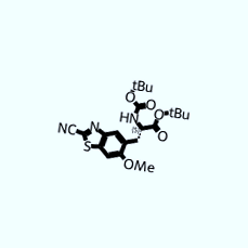 COc1cc2sc(C#N)nc2cc1C[C@H](NC(=O)OC(C)(C)C)C(=O)OC(C)(C)C